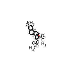 COC(=O)O[C@@H]1CC23C=C[C@@]1(C(C)=O)[C@@]2(C)CC[C@@H]1c2ccc(OC)cc2CC[C@H]13